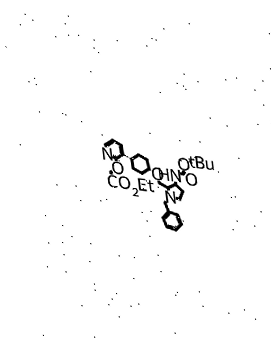 CCOC(=O)COc1ncccc1[C@H]1CC[C@@H](OCC2C(NC(=O)OC(C)(C)C)CCN2Cc2ccccc2)CC1